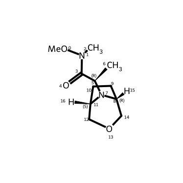 CON(C)C(=O)[C@@H](C)N1[C@@H]2CC[C@H]1COC2